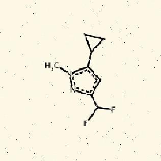 Cn1nc(C(F)F)cc1C1CC1